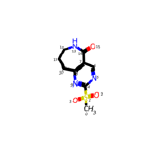 CS(=O)(=O)c1ncc2c(n1)CCCNC2=O